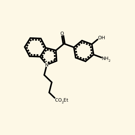 CCOC(=O)CCCn1cc(C(=O)c2ccc(N)c(O)c2)c2ccccc21